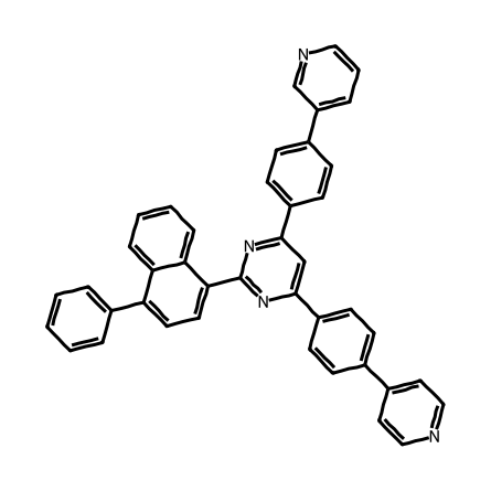 c1ccc(-c2ccc(-c3nc(-c4ccc(-c5ccncc5)cc4)cc(-c4ccc(-c5cccnc5)cc4)n3)c3ccccc23)cc1